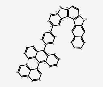 c1ccc2cc3c(cc2c1)oc1ccc2oc4ccc(-c5ccc(-c6c7ccccc7c(-c7cccc8ccccc78)c7ccccc67)cc5)cc4c2c13